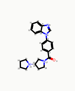 O=C(c1ccc(-n2cnc3ccccc32)cc1)N1CC[C@H](N2CCCC2)C1